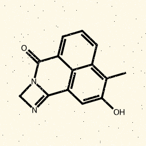 Cc1c(O)cc2c3n(c(=O)c4cccc1c42)CN=3